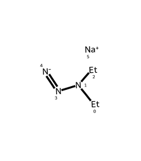 CCN(CC)N=[N-].[Na+]